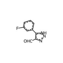 O=Cc1nn[nH]c1-c1cccc(F)c1